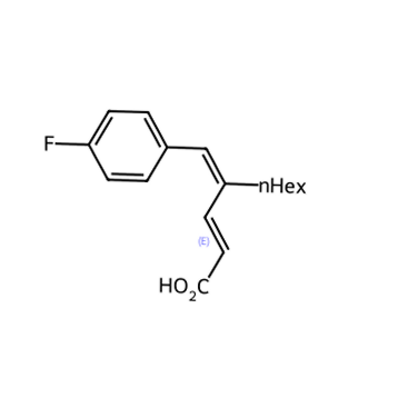 CCCCCCC(=Cc1ccc(F)cc1)/C=C/C(=O)O